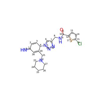 N=C1C=CC(n2cc(CNC(=O)c3ccc(Cl)s3)nn2)C(CN2CCCCC2)=C1